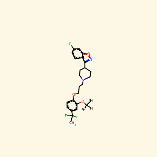 [2H]C([2H])([2H])Oc1cc(C(C)(F)F)ccc1OCCCN1CCC(c2noc3cc(F)ccc23)CC1